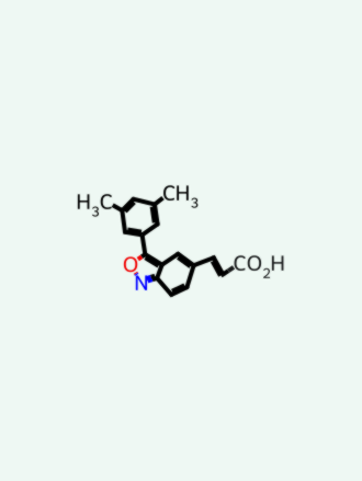 Cc1cc(C)cc(-c2onc3ccc(/C=C/C(=O)O)cc23)c1